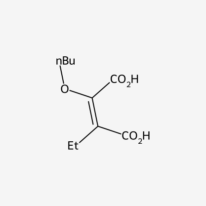 CCCCO/C(C(=O)O)=C(\CC)C(=O)O